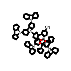 N#Cc1ccc(-n2c3ccc(-n4c5ccccc5c5ccccc54)cc3c3cc(-n4c5ccccc5c5ccccc54)ccc32)c(-c2cc(-n3c4ccc(-n5c6ccccc6c6ccccc65)cc4c4cc(-n5c6ccccc6c6ccccc65)ccc43)ccc2-c2nc(-c3ccccc3)nc(-c3ccccc3)n2)c1